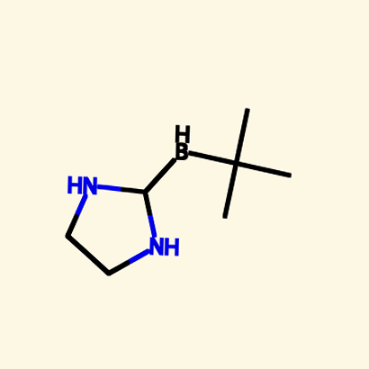 CC(C)(C)BC1NCCN1